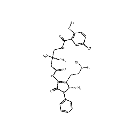 CCOc1ccc(Cl)cc1C(=O)NCC(C)(C)CC(=O)Nc1c(CCN(CC)CC)n(C)n(-c2ccccc2)c1=O